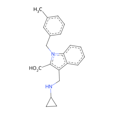 Cc1cccc(Cn2c(C(=O)O)c(CNC3CC3)c3ccccc32)c1